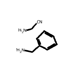 N#CCN.NCc1ccccc1